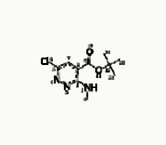 CNc1nnc(Cl)cc1C(=O)OC(C)(C)C